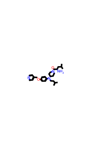 CC(C)CCN(c1ccc(OCc2ccncc2)cc1)C1CCN(C(=O)C(N)CC(C)C)CC1